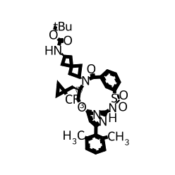 Cc1cccc(C)c1-c1cc2nc(n1)NS(=O)(=O)c1cccc(c1)C(=O)N([C@H]1CC3(C[C@H](NC(=O)OC(C)(C)C)C3)C1)[C@H](CC1(C(F)(F)F)CC1)CO2